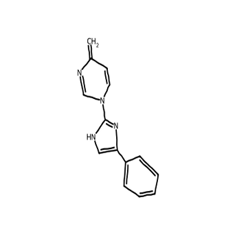 C=C1C=CN(c2nc(-c3ccccc3)c[nH]2)C=N1